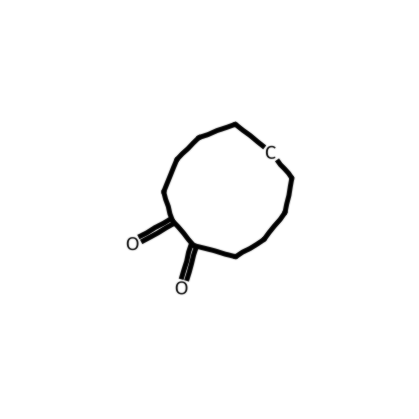 O=C1CCCCCCCCCC1=O